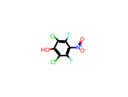 O=[N+]([O-])c1c(F)c(Cl)c(O)c(Cl)c1F